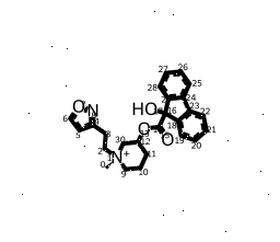 C[N@+]1(CCc2ccon2)CCCC(OC(=O)C2(O)c3ccccc3-c3ccccc32)C1